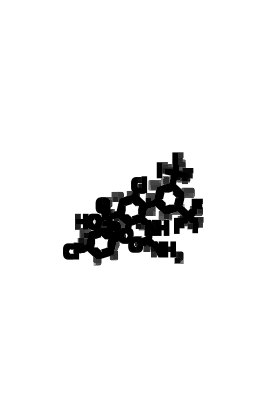 NC(=O)Nc1c(Oc2ccc(Cl)cc2)c(S(=O)(=O)O)cc(Cl)c1-c1cc(C(F)(F)F)cc(C(F)(F)F)c1